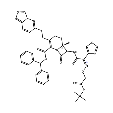 CC(C)(C)OC(=O)CO/N=C(\C(=O)NC1C(=O)N2C(C(=O)OC(c3ccccc3)c3ccccc3)=C(CSc3ccc4nncn4n3)CS[C@H]12)c1cscn1